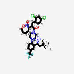 CC(C)CC(N)c1cc(C(F)(F)F)ccc1N1CCN(C(=O)C(Cc2ccc(Cl)cc2Cl)C2=[N+]([O-])OC=CC=C2)CC1